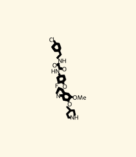 COc1cc2c(Oc3ccc(NC(=O)C(=O)NCCc4ccc(Cl)cc4)cc3F)ccnc2cc1OCC1CCNCC1